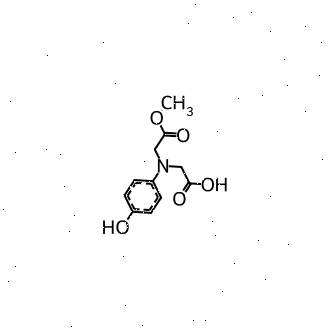 COC(=O)CN(CC(=O)O)c1ccc(O)cc1